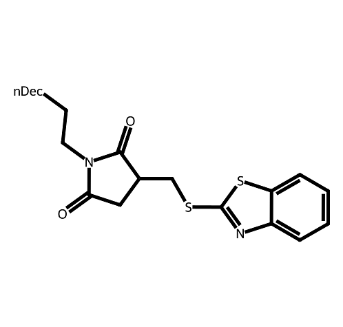 CCCCCCCCCCCCN1C(=O)CC(CSc2nc3ccccc3s2)C1=O